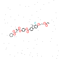 C=CC(=O)OCCCOc1ccc2c(c1F)C(C)c1cc(C(=O)Oc3ccc(OC(=O)C(=C)CC(=O)OC4CCCCC4)cc3)ccc1-2